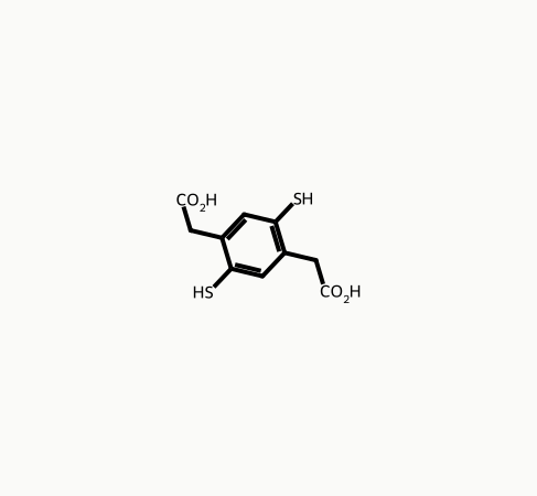 O=C(O)Cc1cc(S)c(CC(=O)O)cc1S